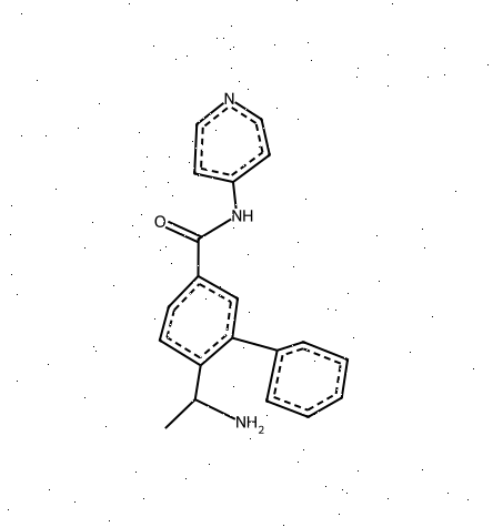 CC(N)c1ccc(C(=O)Nc2ccncc2)cc1-c1ccccc1